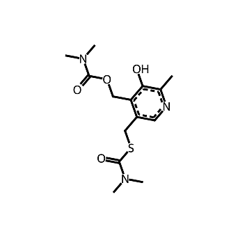 Cc1ncc(CSC(=O)N(C)C)c(COC(=O)N(C)C)c1O